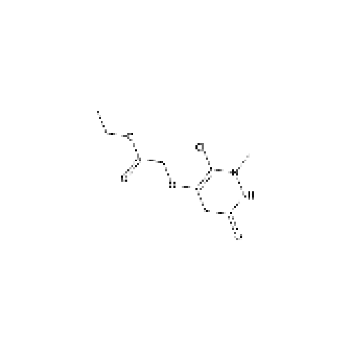 CCOC(=O)COC1=C(Cl)N(C)NC(=O)C1